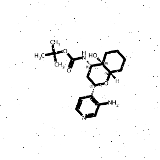 CC(C)(C)OC(=O)N[C@H]1C[C@@H](c2ccncc2N)O[C@H]2CCCC[C@@]12O